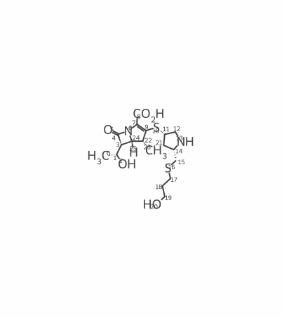 C[C@@H](O)[C@H]1C(=O)N2C(C(=O)O)=C(S[C@@H]3CN[C@H](CSCCCO)C3)[C@H](C)[C@H]12